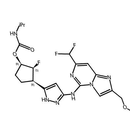 CC(C)NC(=O)O[C@@H]1CC[C@H](c2cc(Nc3nc(C(F)F)cc4nc(COC(F)(F)F)cn34)n[nH]2)[C@@H]1F